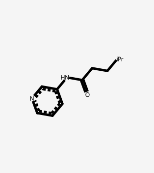 CC(C)CCC(=O)Nc1cccnc1